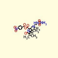 CC(C)[C@H]1C(=O)N2C(C(=O)OC(=O)c3ccc([N+](=O)[O-])cc3)=C(CN(C)CCNS(N)(=O)=O)[C@H](C)[C@H]12